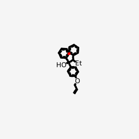 C=CCOc1ccc(C(O)(c2ccccc2)C(CC)c2ccccc2)cc1